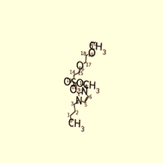 CCCCN1C=CN(C)C1OS(=O)(=O)CCOCCOC